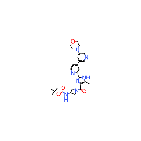 Cc1[nH]c(-c2cc(-c3cncc(N4CCOCC4)c3)ccn2)nc1C(=O)N1CC(NC(=O)OC(C)(C)C)C1